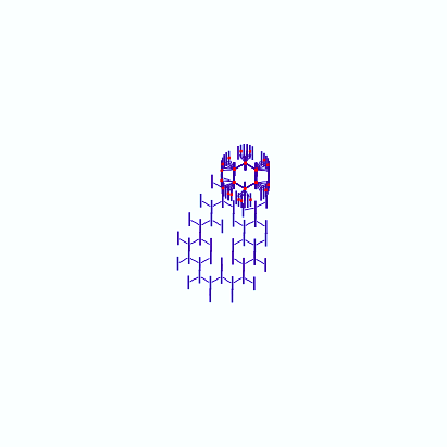 II(I)I(I)I(I)I(I)I(I)I(I)I(I)I(I)I(I)I(I)I(I)I(I)I(I)I(I)I(I)I(I)I(I)I(I)I(I)I(I)I(I)I(I)I(I)I(I)I(I)I(I)I(I)I(I)I(I)I(I)I(I)I(I)I(I)I(I)I(I)I(I)I(I)I(I)I(I)I(I)I(I)I(I)I(I)I(I)I(I)I(I)I(I)I(I)I(I)I(I)I(I)I(I)I(I)I(I)I(I)I(I)I(I)I(I)I